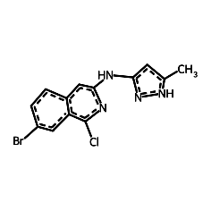 Cc1cc(Nc2cc3ccc(Br)cc3c(Cl)n2)n[nH]1